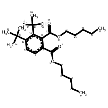 CCCCCOC(=O)c1ccc(C(C)(C)C)c(C(C)(C)C)c1C(=O)OCCCCC